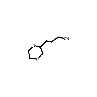 OCCCC1COCC[N]1